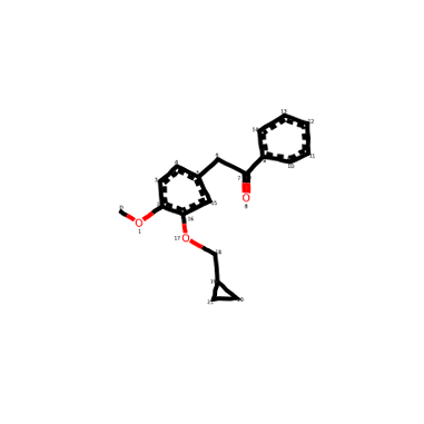 COc1ccc(CC(=O)c2ccccc2)cc1OCC1CC1